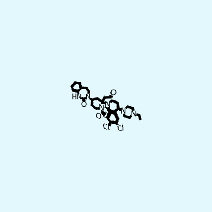 CCN1CCN(C2CCN(C3(CC=O)CC(N4CCc5ccccc5NC4=O)CC[N@+]3(Cc3ccc(Cl)c(Cl)c3)C(=O)[O-])CC2)CC1